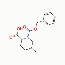 CC1CCC(C(=O)O)N(C(=O)OCc2ccccc2)C1